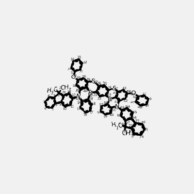 CC1(C)c2ccccc2-c2ccc(N3c4ccccc4B4c5cc6c(cc5Sc5cc(Oc7ccccc7)cc3c54)Sc3cc(Oc4ccccc4)cc4c3B6c3ccccc3N4c3ccc4c(c3)C(C)(C)c3ccccc3-4)cc21